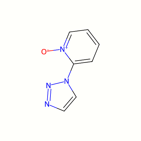 [O-][n+]1ccccc1-n1ccnn1